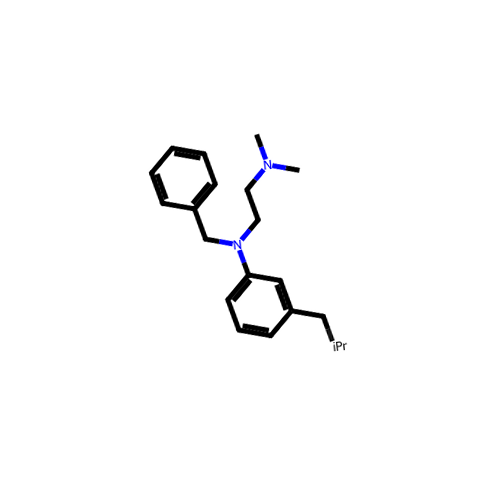 CC(C)Cc1cccc(N(CCN(C)C)Cc2ccccc2)c1